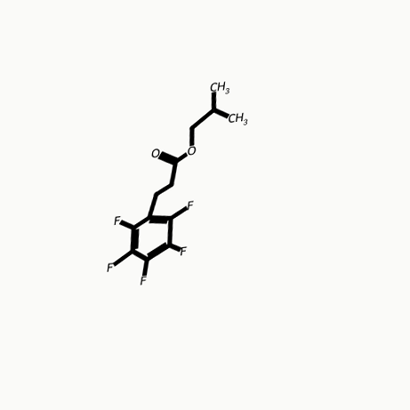 CC(C)COC(=O)CCc1c(F)c(F)c(F)c(F)c1F